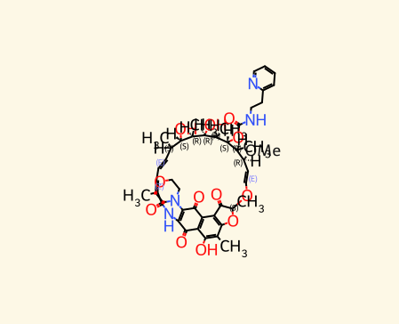 CO[C@H]1/C=C/O[C@@]2(C)Oc3c(C)c(O)c4c(c3C2=O)C(=O)C(N2CCOCC2)=C(NC(=O)/C(C)=C\C=C\[C@H](C)[C@H](O)[C@@H](C)[C@@H](O)[C@@H](C)[C@H](OC(=O)NCCc2ccccn2)[C@@H]1C)C4=O